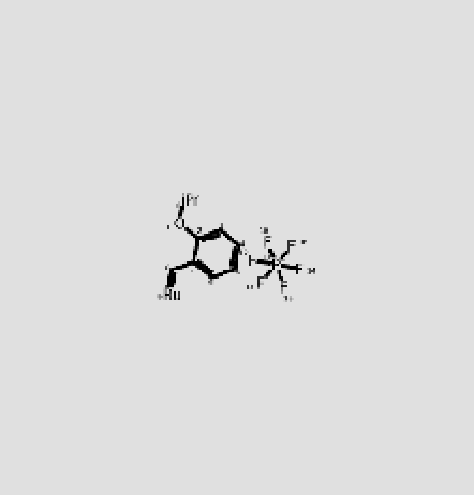 CC(C)Oc1ccccc1[CH]=[Ru].F[P-](F)(F)(F)(F)F